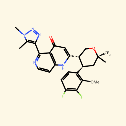 COc1c([C@@H]2C[C@](C)(C(F)(F)F)OC[C@H]2c2cc(=O)c3c(-c4nnn(C)c4C)nccc3[nH]2)ccc(F)c1F